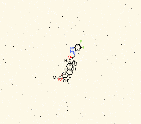 COCC[C@]12CC[C@@](C)(O)C[C@@H]1CC[C@H]1[C@@H]3CC[C@H](C(=O)Cn4nnc5cc(F)c(F)cc54)[C@@]3(C)CC[C@@H]12